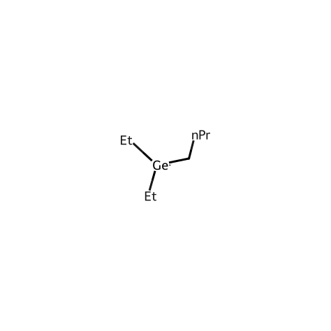 CCC[CH2][Ge]([CH2]C)[CH2]C